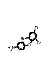 CCc1cc(Br)c(Oc2ccc(N)cc2)c(Br)c1